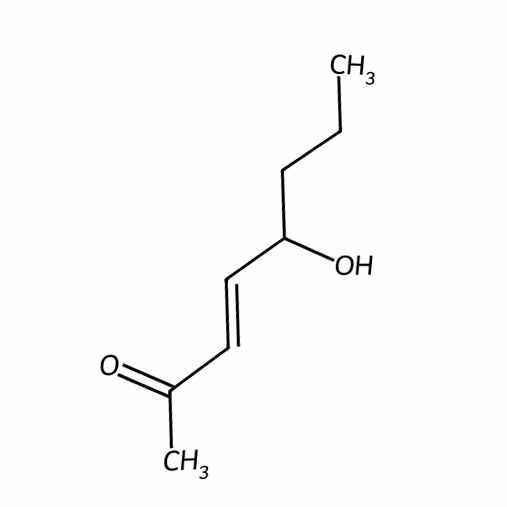 CCCC(O)C=CC(C)=O